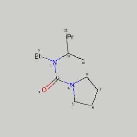 CCN(C(=O)N1CCCC1)C(C)C(C)C